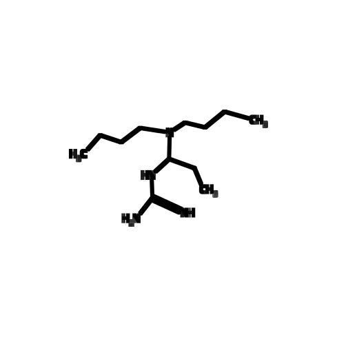 CCCCN(CCCC)C(CC)NC(=N)N